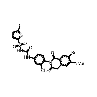 CNc1cc2c(cc1Br)C(=O)N(c1ccc(NC(=O)NS(=O)(=O)c3ccc(Cl)s3)cc1Cl)C(=O)C2